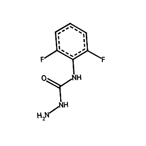 NNC(=O)Nc1c(F)cccc1F